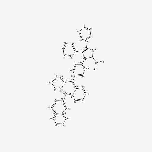 CC(C)c1nc(-c2ccccc2)c(-c2ccccc2)n1-c1ccc(-c2c3ccccc3c(-c3ccc4ccccc4c3)c3ccccc23)cc1